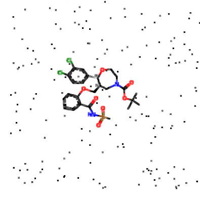 CC(C)(C)OC(=O)N1CCO[C@@H](c2ccc(Cl)c(Cl)c2)[C@H](COc2ccccc2C(=O)NS(C)(=O)=O)C1